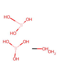 CO.O.OB(O)O.OB(O)O